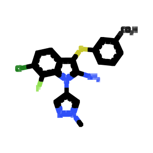 Cn1cc(-n2c(N)c(Sc3cccc(C(=O)O)c3)c3ccc(Cl)c(F)c32)cn1